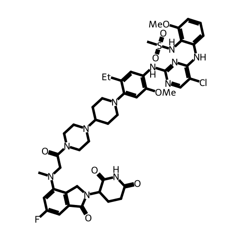 CCc1cc(Nc2ncc(Cl)c(Nc3cccc(OC)c3NS(C)(=O)=O)n2)c(OC)cc1N1CCC(N2CCN(C(=O)CN(C)c3cc(F)cc4c3CN(C3CCC(=O)NC3=O)C4=O)CC2)CC1